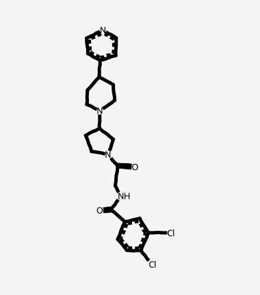 O=C(NCC(=O)N1CCC(N2CCC(c3ccncc3)CC2)C1)c1ccc(Cl)c(Cl)c1